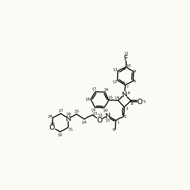 CC(C=C1C(=O)N(c2ccc(F)cc2)C1c1ccccc1)=NOCCCN1CCOCC1